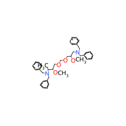 COC(COCOCC(OC)C(C)N(Cc1ccccc1)Cc1ccccc1)CN(Cc1ccccc1)Cc1ccccc1